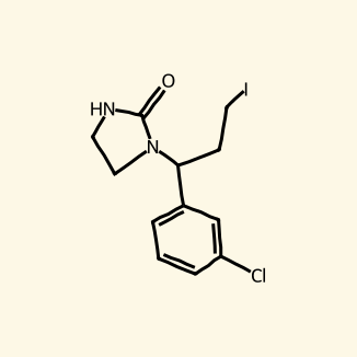 O=C1NCCN1C(CCI)c1cccc(Cl)c1